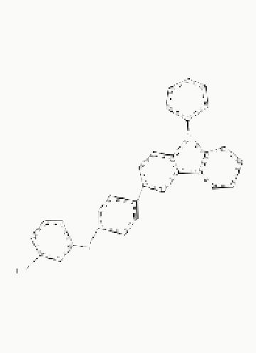 CC(C)(C)c1cccc(Nc2ccc(-c3ccc4c(c3)c3ccccc3n4-c3ccccc3)cc2)c1